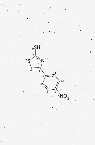 O=[N+]([O-])c1ccc(-c2csc(S)n2)cc1